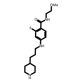 COCCNC(=O)c1ccc(NCCCC2CCNCC2)cc1F